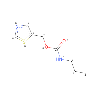 CCCNC(=O)OCc1cncs1